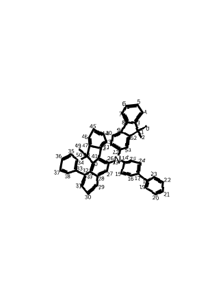 CC1(C)c2ccccc2-c2ccc(N(c3ccc(-c4ccccc4)cc3)c3cc4cccc(-c5ccccc5)c4c4c3-c3ccccc3C4(C)C)cc21